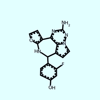 Nc1nc2c3c(ccn3n1)C(c1ccc(O)cc1F)Nc1occc1-2